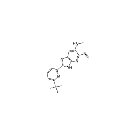 C=Nc1nc2[nH]c(-c3cccc(C(C)(C)C)n3)nc2cc1NC